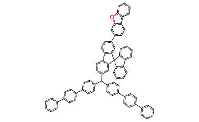 c1ccc(-c2ccc(-c3ccc(C(c4ccc(-c5ccc(-c6ccccc6)cc5)cc4)c4ccc5c(c4)C4(c6ccccc6-c6ccccc64)c4cc(-c6ccc7c(c6)oc6ccccc67)ccc4-5)cc3)cc2)cc1